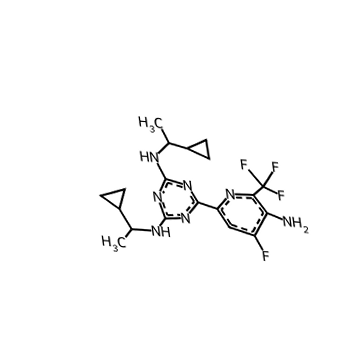 CC(Nc1nc(NC(C)C2CC2)nc(-c2cc(F)c(N)c(C(F)(F)F)n2)n1)C1CC1